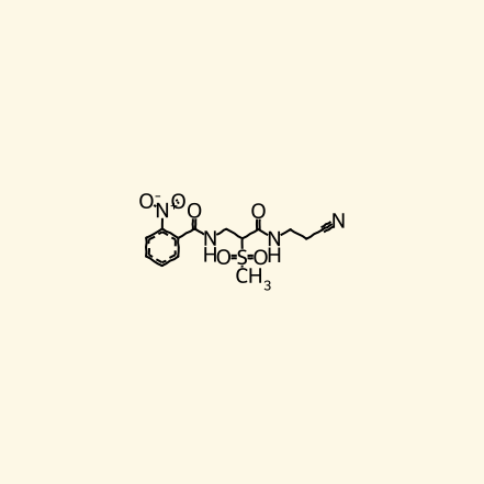 CS(=O)(=O)C(CNC(=O)c1ccccc1[N+](=O)[O-])C(=O)NCCC#N